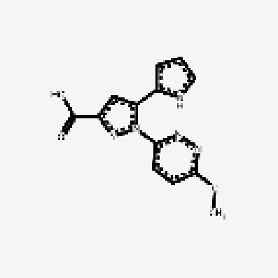 COc1ccc(-n2nc(C(=O)O)cc2-c2ccc[nH]2)nn1